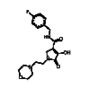 O=C(NCc1ccc(F)cc1)C1=C(O)C(=O)N(CCN2CCOCC2)C1